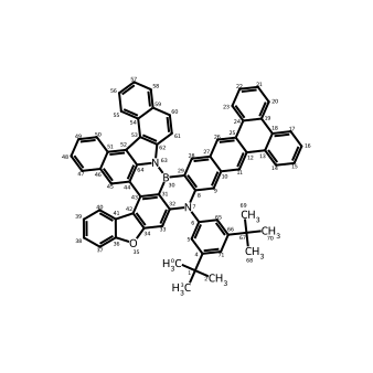 CC(C)(C)c1cc(N2c3cc4cc5c6ccccc6c6ccccc6c5cc4cc3B3c4c2cc2oc5ccccc5c2c4-c2cc4ccccc4c4c5c6ccccc6ccc5n3c24)cc(C(C)(C)C)c1